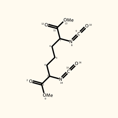 COC(=O)C(CCCC(N=C=O)C(=O)OC)N=C=O